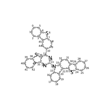 c1ccc2c(c1)sc1ccc(-c3nc(-n4c5ccccc5c5c6sc7ccccc7c6ccc54)nc4c3sc3ccccc34)cc12